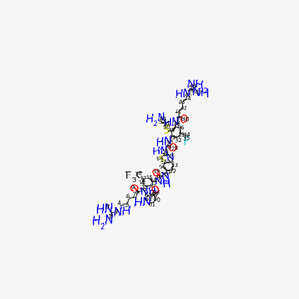 N=C(N)NCCCCC(=O)Nc1cc(C(F)(F)F)cc(NC(=O)Nc2ccc3nc(NC(=O)Nc4cc(CF)cc(NC(=O)CCCCNC(=N)N)c4SCCN)sc3c2)c1O[C@@H]1CCNC1